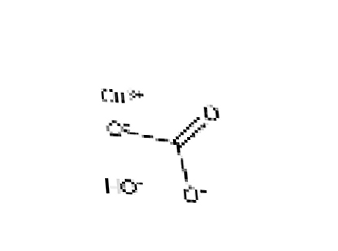 O=C([O-])[O-].[Cu+3].[OH-]